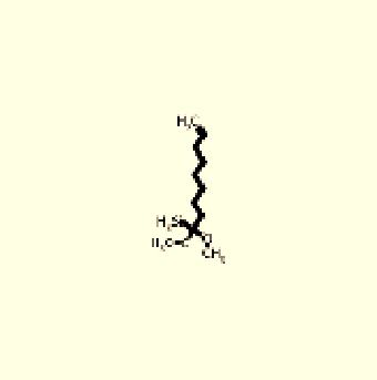 C=CCCCCCCC([SiH3])(OC)OC